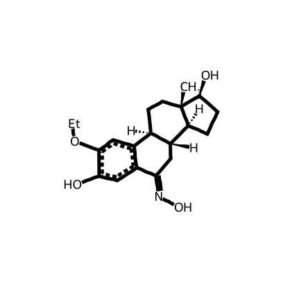 CCOc1cc2c(cc1O)/C(=N/O)C[C@@H]1[C@@H]2CC[C@]2(C)[C@@H](O)CC[C@@H]12